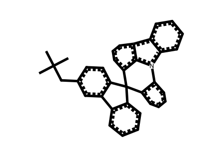 CC(C)(C)Cc1ccc2c(c1)-c1ccccc1C21c2ccccc2-n2c3ccccc3c3cccc1c32